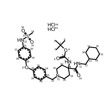 CC(C)(C)OC(=O)NC1(C(=O)NCC2CCCCC2)CCN(Cc2ccc(Oc3ccc(NS(C)(=O)=O)cc3)cc2)CC1.Cl.Cl